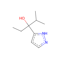 CCC(O)(c1ccn[nH]1)C(C)C